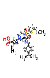 CCCc1ccc(S(=O)(=O)N2CCN(c3nc(C)c(C(=O)O)s3)C[C@@H]2C(=O)NCc2ccc(C(C)C)cc2)s1